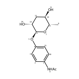 CC(=O)Nc1ccc(O[C@@H]2O[C@@H](C)[C@H](O)C[C@H]2O)cc1